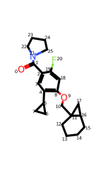 O=C(c1cc(C2CC2)c(OCC23CCCCC2C3)cc1F)N1CCCC1